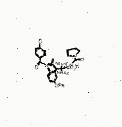 CCCCCCC(NC(C)=O)(C(=O)O)c1c(C)n(C(=O)c2ccc(Cl)cc2)c2ccc(OC)cc12.NC(=O)N1CCCC1